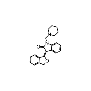 O=C1/C(=C2/OCc3ccccc32)c2ccccc2N1CN1CCCCC1